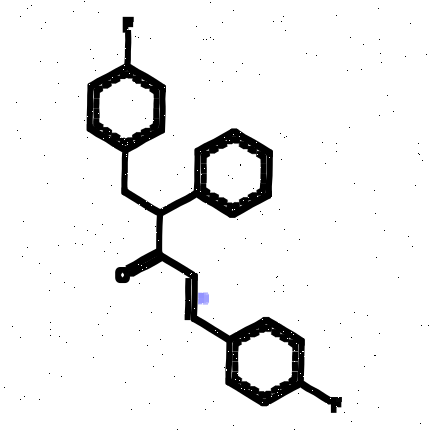 O=C(/C=C/c1ccc(F)cc1)C(Cc1ccc(F)cc1)c1ccccc1